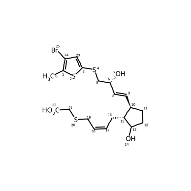 Cc1sc(SC[C@H](O)/C=C/[C@H]2CCC(O)[C@@H]2C/C=C\CSCC(=O)O)cc1Br